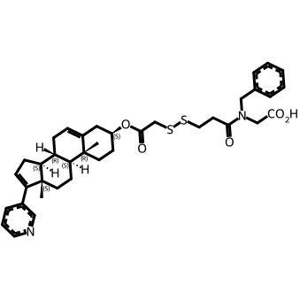 C[C@]12CC[C@H](OC(=O)CSSCCC(=O)N(CC(=O)O)Cc3ccccc3)CC1=CC[C@@H]1[C@@H]2CC[C@]2(C)C(c3cccnc3)=CC[C@@H]12